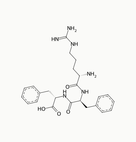 N=C(N)NCCC[C@H](N)C(=O)N[C@@H](Cc1ccccc1)C(=O)N[C@@H](Cc1ccccc1)C(=O)O